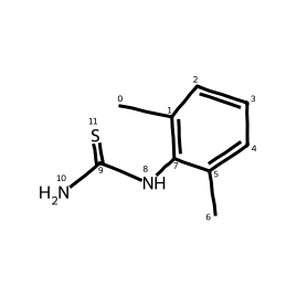 Cc1cccc(C)c1NC(N)=S